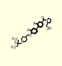 CCC(F)(CC)CN1CCC(COc2ccc(-c3ccc(C(=O)N4CCCC4CO)cc3F)cc2F)CC1